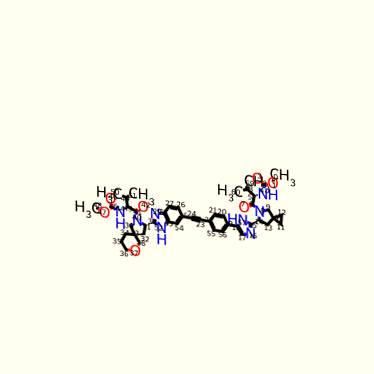 COC(=O)N[C@H](C(=O)N1CC2(CC2)C[C@H]1c1ncc(-c2ccc(C#Cc3ccc4nc([C@@H]5C[C@@]6(CCCOC6)CN5C(=O)[C@@H](NC(=O)OC)C(C)C)[nH]c4c3)cc2)[nH]1)C(C)C